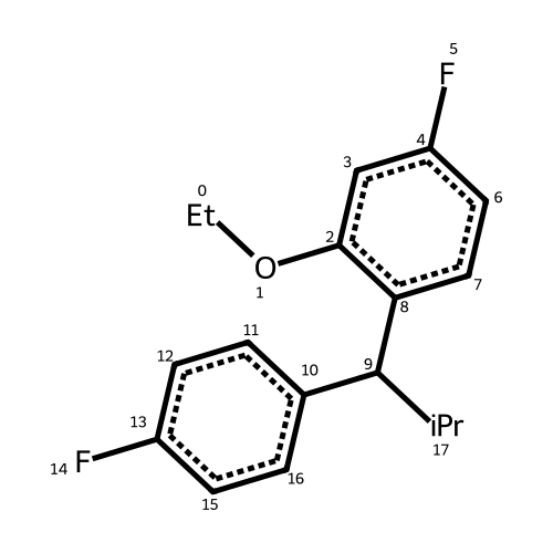 CCOc1cc(F)ccc1C(c1ccc(F)cc1)C(C)C